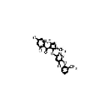 Cc1ccccc1Oc1nnc(Oc2c(C(=O)c3ccc(Cl)cc3Cl)c(C)nn2C)cc1Cl